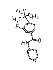 CC(C)(N)c1ccc(C(=O)Nc2ccncc2)cc1F